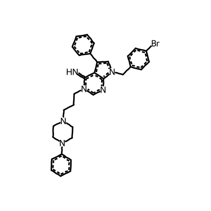 N=c1c2c(-c3ccccc3)cn(Cc3ccc(Br)cc3)c2ncn1CCCN1CCN(c2ccccc2)CC1